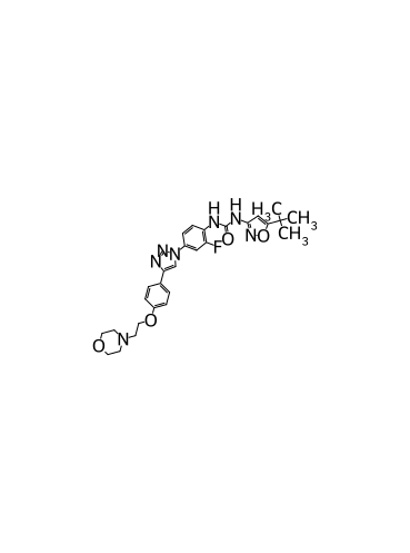 CC(C)(C)c1cc(NC(=O)Nc2ccc(-n3cc(-c4ccc(OCCN5CCOCC5)cc4)nn3)cc2F)no1